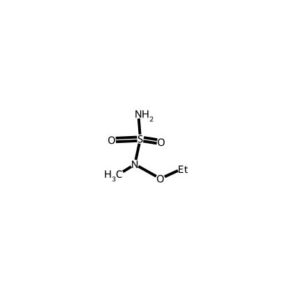 CCON(C)S(N)(=O)=O